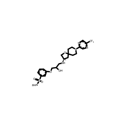 CNS(=O)(=O)c1cccc(OCC(O)CN[C@H]2COC3(CCN(c4cnc(C(F)(F)F)cn4)CC3)C2)c1